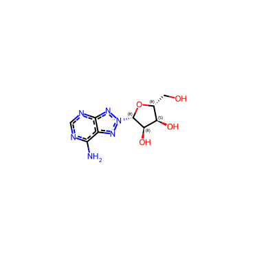 Nc1ncnc2nn([C@@H]3O[C@H](CO)[C@@H](O)[C@H]3O)nc12